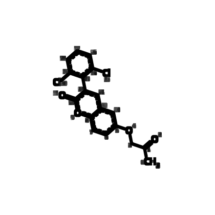 CC(=O)COc1ccc2oc(=O)c(-c3c(Cl)cccc3Cl)cc2c1